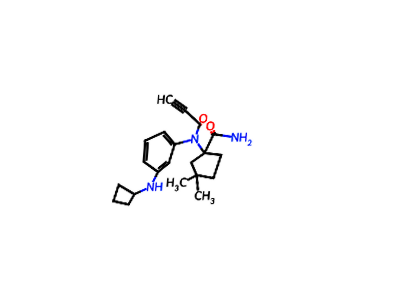 C#CC(=O)N(c1cccc(NC2CCC2)c1)C1(C(N)=O)CCC(C)(C)C1